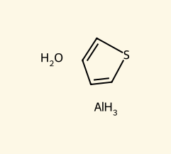 O.[AlH3].c1ccsc1